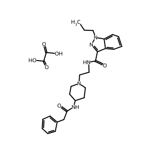 CCCn1nc(C(=O)NCCN2CCC(NC(=O)Cc3ccccc3)CC2)c2ccccc21.O=C(O)C(=O)O